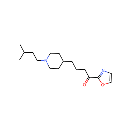 CC(C)CCN1CCC(CCCC(=O)c2ncco2)CC1